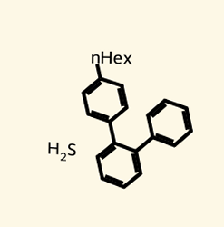 CCCCCCc1ccc(-c2ccccc2-c2ccccc2)cc1.S